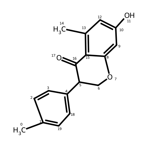 Cc1ccc(C2COc3cc(O)cc(C)c3C2=O)cc1